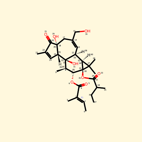 C/C=C(\C)C(=O)O[C@@H]1[C@@H](C)[C@@]2(O)[C@@H](C=C(CO)C[C@]3(O)C(=O)C(C)=C[C@@H]23)[C@H]2C(C)(C)[C@]12OC(=O)C(C)CC